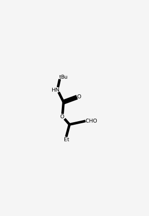 CCC(C=O)OC(=O)NC(C)(C)C